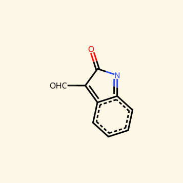 O=CC1=c2ccccc2=NC1=O